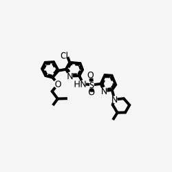 CC(C)COc1ccccc1-c1nc(NS(=O)(=O)c2cccc(N3CCCC(C)C3)n2)ccc1Cl